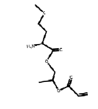 C=CC(=O)OC(C)COC(=O)[C@@H](N)CCSC